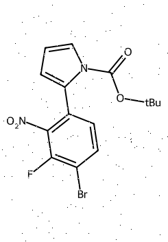 CC(C)(C)OC(=O)n1cccc1-c1ccc(Br)c(F)c1[N+](=O)[O-]